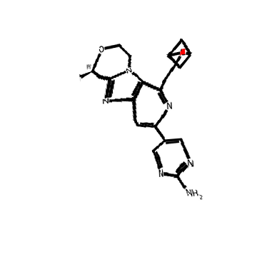 Nc1ncc(-c2cc3nc4n(c3c(N3CC5CC3C5)n2)CCO[C@@H]4I)cn1